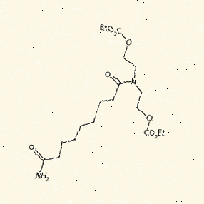 CCOC(=O)OCCN(CCOC(=O)OCC)C(=O)CCCCCCCC(N)=O